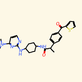 CC(C(=O)NC1CCC(Nc2nccc(N(C)C)n2)CC1)c1ccc(C(=O)c2cccs2)cc1